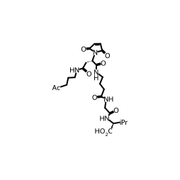 CC(=O)CCCNC(=O)C[C@@H](C(=O)NCCCC(=O)NCC(=O)N[C@H](C(=O)O)C(C)C)N1C(=O)C=CC1=O